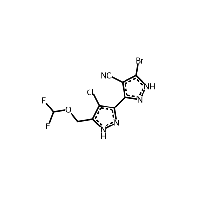 N#Cc1c(-c2n[nH]c(COC(F)F)c2Cl)n[nH]c1Br